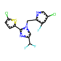 Fc1cc(Cl)cnc1Cn1cc(C(F)F)nc1-c1ccc(Cl)s1